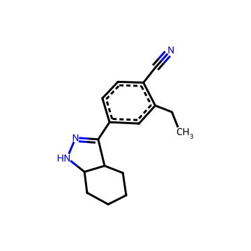 CCc1cc(C2=NNC3CCCCC23)ccc1C#N